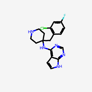 Fc1ccc(CC2(Nc3ncnc4[nH]ccc34)CCNCC2)c(Cl)c1